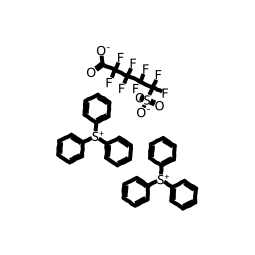 O=C([O-])C(F)(F)C(F)(F)C(F)(F)C(F)(F)S(=O)(=O)[O-].c1ccc([S+](c2ccccc2)c2ccccc2)cc1.c1ccc([S+](c2ccccc2)c2ccccc2)cc1